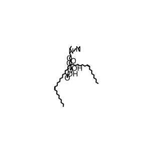 CCCCCCCC/C=C\CCCCCCC(CCCC(CCCCCC/C=C\CCCCCCCC)(OC(=O)OCCN(CC)CCN(C)C)C(=O)O)C(=O)O